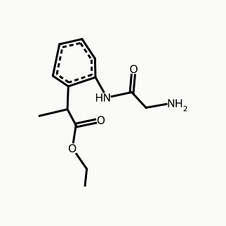 CCOC(=O)C(C)c1ccccc1NC(=O)CN